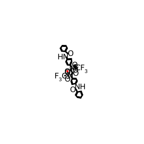 O=C(Nc1ccc(N(C(=O)C(=O)N(c2ccc(NC(=O)c3ccccc3)cc2)S(=O)(=O)C(F)(F)F)S(=O)(=O)C(F)(F)F)cc1)c1ccccc1